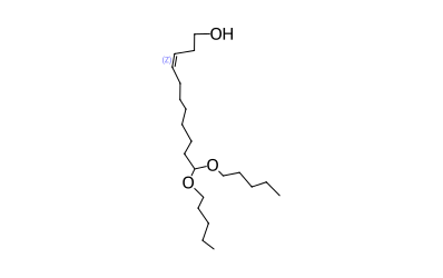 CCCCCOC(CCCCCC/C=C\CCO)OCCCCC